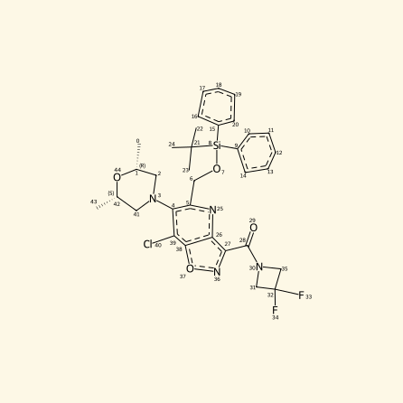 C[C@@H]1CN(c2c(CO[Si](c3ccccc3)(c3ccccc3)C(C)(C)C)nc3c(C(=O)N4CC(F)(F)C4)noc3c2Cl)C[C@H](C)O1